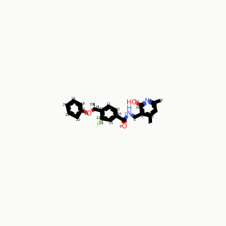 Cc1cc(C)c(CNC(=O)c2ccc([C@@H](C)Oc3ccccc3)c(F)c2)c(O)n1